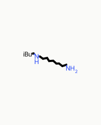 CCC(C)CNCCCCCCCCCN